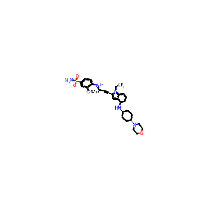 COc1cc(S(N)(=O)=O)ccc1NCC#Cc1cc2c(N[C@H]3CC[C@@H](N4CCOCC4)CC3)cccc2n1CC(F)(F)F